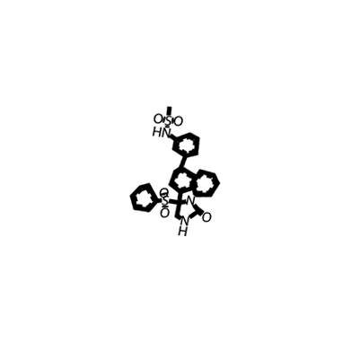 CS(=O)(=O)Nc1cccc(-c2ccc(C3(S(=O)(=O)c4ccccc4)CNC(=O)N3c3ccccc3)cc2)c1